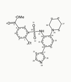 CCc1ccc(C(=O)OC)cc1S(=O)(=O)Nc1cc(-c2cncs2)ccc1N1CCCCC1